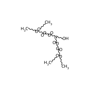 CCCCCCOC(CCC(=O)OCCOC(=O)CCN(CCCCO)CCC(=O)OCCOC(=O)CCC(OCCCCCC)OCCCCCC)OCCCCCC